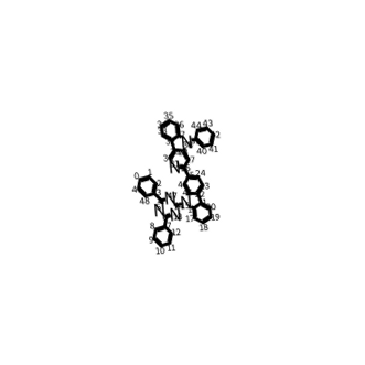 c1ccc(-c2nc(-c3ccccc3)nc(-n3c4ccccc4c4ccc(-c5cc6c(cn5)c5ccccc5n6-c5ccccc5)cc43)n2)cc1